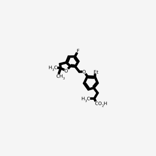 CCc1cc(CC(C)C(=O)O)ccc1OCc1cc(F)cc2c1OC(C)(C)C2